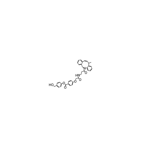 CC1/C=C\c2ccccc2CN(C(=O)CCNC(=O)COc2ccc(C(=O)Oc3ccc(CO)cc3)cc2)c2ccccc21